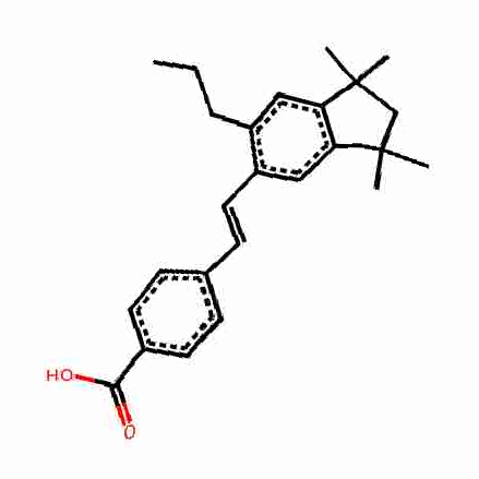 CCCc1cc2c(cc1C=Cc1ccc(C(=O)O)cc1)C(C)(C)CC2(C)C